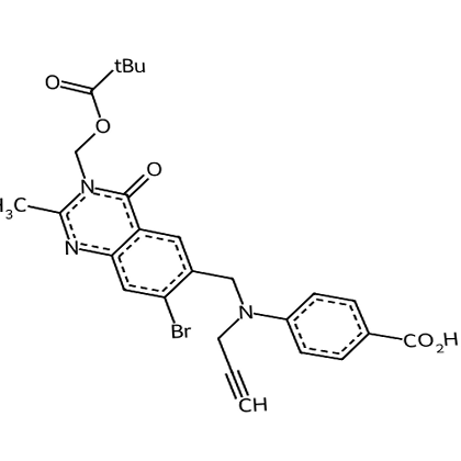 C#CCN(Cc1cc2c(=O)n(COC(=O)C(C)(C)C)c(C)nc2cc1Br)c1ccc(C(=O)O)cc1